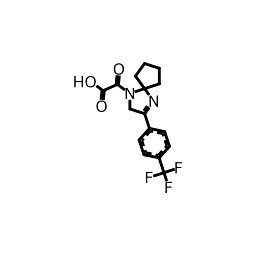 O=C(O)C(=O)N1CC(c2ccc(C(F)(F)F)cc2)=NC12CCCC2